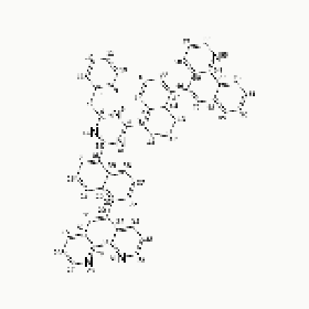 C1=CC2=C(c3nc(Cc4ccccc4)nc(-c4cccc5c(-c6cc7cccnc7c7ncccc67)cccc45)n3)C=CCC2C(c2cc3ccccc3c3ncccc23)=C1